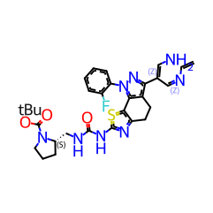 C=C/N=C\C(=C/N)c1nn(-c2ccccc2F)c2c1CCc1nc(NC(=O)NC[C@@H]3CCCN3C(=O)OC(C)(C)C)sc1-2